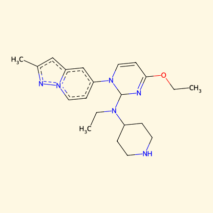 CCOC1=NC(N(CC)C2CCNCC2)N(c2ccn3nc(C)cc3c2)C=C1